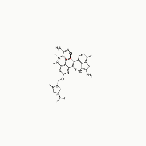 C[C@H](c1nccnc1N)N(C)c1nc(OC[C@@H]2C[C@@H](C(F)F)CN2C)nc2c(F)c(-c3ccc(F)c4sc(N)c(C#N)c34)c(Cl)cc12